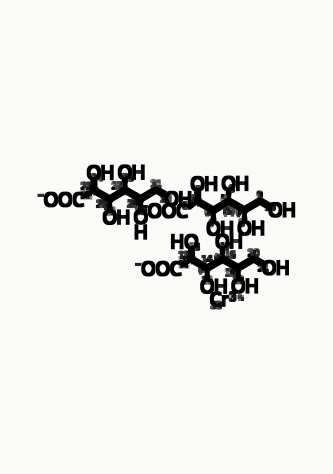 O=C([O-])[C@@H](O)[C@H](O)[C@@H](O)[C@H](O)CO.O=C([O-])[C@@H](O)[C@H](O)[C@@H](O)[C@H](O)CO.O=C([O-])[C@@H](O)[C@H](O)[C@@H](O)[C@H](O)CO.[Cr+3]